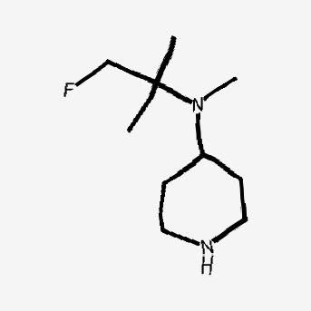 CN(C1CCNCC1)C(C)(C)CF